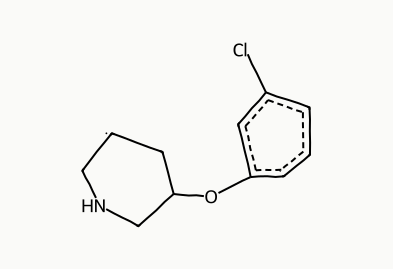 Clc1cccc(OC2C[CH]CNC2)c1